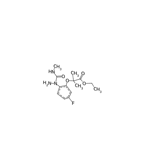 CCOC(=O)C(C)(C)Oc1cc(F)ccc1N(N)C(=O)NC